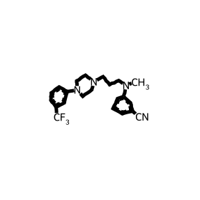 CN(CCCN1CCN(c2cccc(C(F)(F)F)c2)CC1)c1cccc(C#N)c1